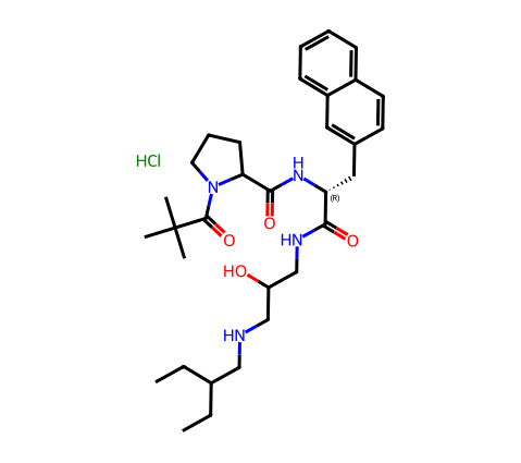 CCC(CC)CNCC(O)CNC(=O)[C@@H](Cc1ccc2ccccc2c1)NC(=O)C1CCCN1C(=O)C(C)(C)C.Cl